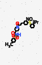 Cc1ccc(S(=O)(=O)NC(=O)C2CCN(C(=O)/C=C/c3ccc(Sc4ccccc4C(C)C)c([N+](=O)[O-])c3)CC2)cc1